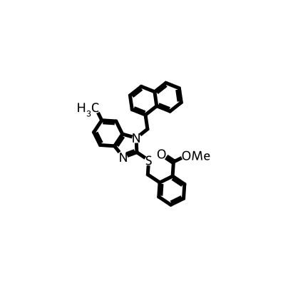 COC(=O)c1ccccc1CSc1nc2ccc(C)cc2n1Cc1cccc2ccccc12